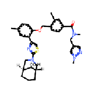 Cc1ccc(OCc2ccc(C(=O)N(C)Cc3cnn(C)c3)cc2C)c(-c2csc(N3C[C@@H]4CCC[C@@H](C3)C4C(=O)O)n2)c1